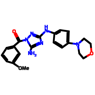 COc1cccc(C(=O)n2nc(Nc3ccc(N4CCOCC4)cc3)nc2N)c1